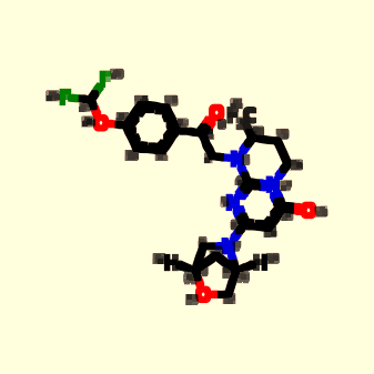 O=C(CN1c2nc(N3C[C@@H]4C[C@H]3CO4)cc(=O)n2CCC1C(F)(F)F)c1ccc(OC(F)F)cc1